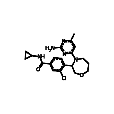 Cc1cc(N2CCCOCC2c2ccc(C(=O)NC3CC3)cc2Cl)nc(N)n1